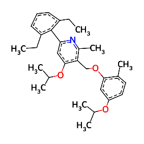 CCc1cccc(CC)c1-c1cc(OC(C)C)c(COc2cc(OC(C)C)ccc2C)c(C)n1